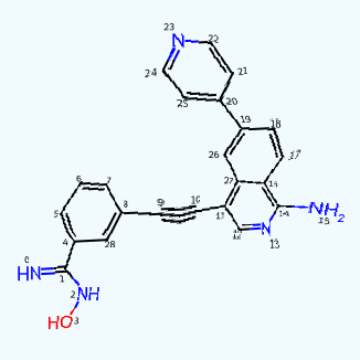 N=C(NO)c1cccc(C#Cc2cnc(N)c3ccc(-c4ccncc4)cc23)c1